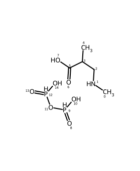 CNCC(C)C(=O)O.O=[PH](O)O[PH](=O)O